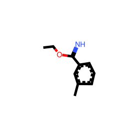 CCOC(=N)c1cccc(C)c1